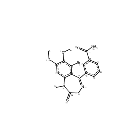 COc1cc2c(c(Br)c1OC)C(c1cccc(C(N)=O)c1)=NCC(=O)N2C